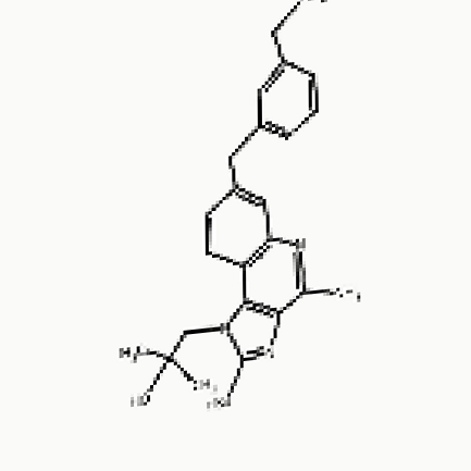 CCCCc1nc2c(N)nc3cc(Cc4cccc(CN)c4)ccc3c2n1CC(C)(C)O